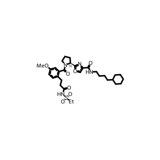 CCS(=O)(=O)NC(=O)CCc1ccc(OC)cc1C(=O)N1CCC[C@H]1c1nc(C(=O)NCCCCC2CCCCC2)co1